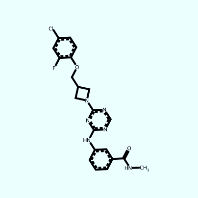 CNC(=O)c1cccc(Nc2ncnc(N3CC(COc4ccc(Cl)cc4F)C3)n2)c1